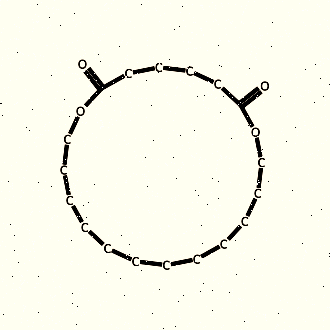 O=C1CCCCC(=O)OCCCCCCCCCCCCO1